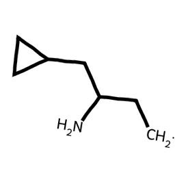 [CH2]CC(N)CC1CC1